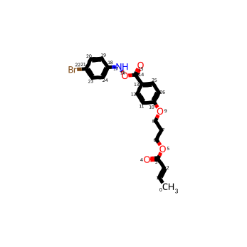 CC=CC(=O)OCCCOc1ccc(C(=O)ONc2ccc(Br)cc2)cc1